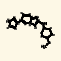 CSN1CCC(Nc2nc3cnc(-c4cn[nH]c4)cn3n2)CC1